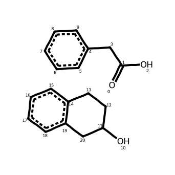 O=C(O)Cc1ccccc1.OC1CCc2ccccc2C1